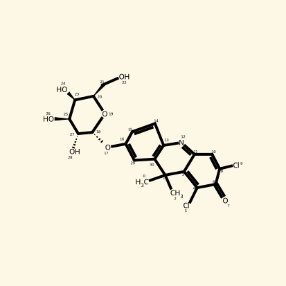 CC1(C)C2=C(Cl)C(=O)C(Cl)=CC2=Nc2ccc(O[C@H]3O[C@H](CO)[C@H](O)[C@H](O)[C@H]3O)cc21